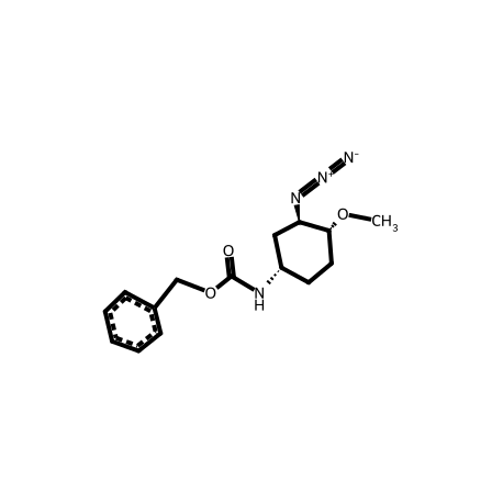 CO[C@@H]1CC[C@H](NC(=O)OCc2ccccc2)C[C@H]1N=[N+]=[N-]